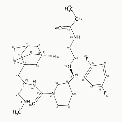 CNC[C@H](CC12CC3CC1C[C@@H](C3)C2)NC(=O)N1CCCC([C@@H](OCCNC(=O)OC)c2cc(F)ccc2F)C1